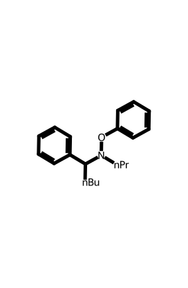 CCCCC(c1ccccc1)N(CCC)Oc1ccccc1